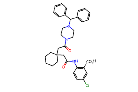 O=C(CC1(CC(=O)N2CCN(C(c3ccccc3)c3ccccc3)CC2)CCCCC1)Nc1ccc(Cl)cc1C(=O)O